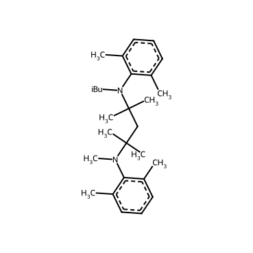 CCC(C)N(c1c(C)cccc1C)C(C)(C)CC(C)(C)N(C)c1c(C)cccc1C